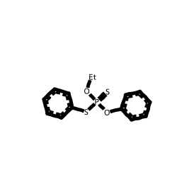 CCOP(=S)(Oc1ccccc1)Sc1ccccc1